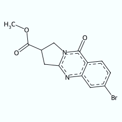 COC(=O)C1Cc2nc3cc(Br)ccc3c(=O)n2C1